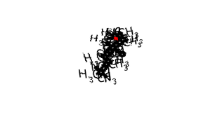 COc1cc2c(cc1OC)C1(CC2(C)C)CC(C)(C)c2cc3oc4c(S(=O)(=O)c5ccccc5)c5oc6cc7c(cc6oc5c(C(F)(F)F)c4oc3cc21)C(C)(C)CC71CC(C)(C)c2cc3c(cc21)Oc1c(C#N)c(C)c(C)c(C#N)c1O3